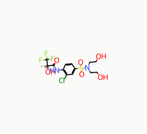 C[C@@](O)(C(=O)Nc1ccc(S(=O)(=O)N(CCO)CCO)cc1Cl)C(F)(F)F